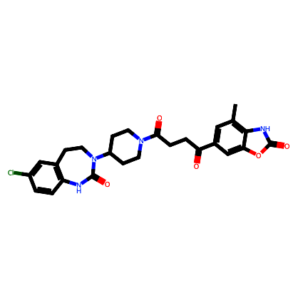 Cc1cc(C(=O)CCC(=O)N2CCC(N3CCc4cc(Cl)ccc4NC3=O)CC2)cc2oc(=O)[nH]c12